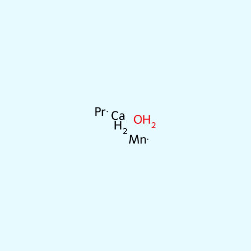 O.[CaH2].[Mn].[Pr]